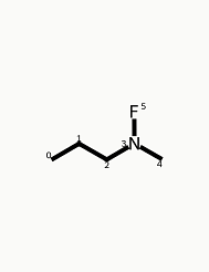 CCCN(C)F